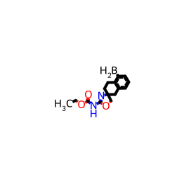 Bc1cccc2c1CCC1(COC(NC(=O)OCC)=N1)C2